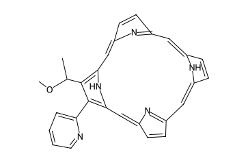 COC(C)c1c(-c2ccccn2)c2cc3nc(cc4ccc(cc5nc(cc1[nH]2)C=C5)[nH]4)C=C3